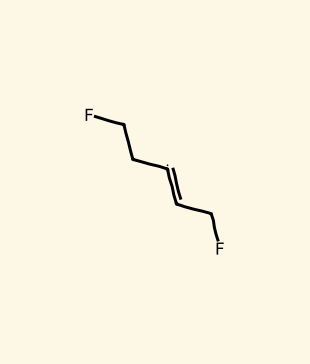 FC/C=[C]/CCF